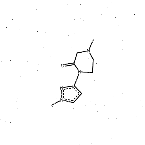 CN1CCN(c2ccn(C)n2)C(=O)C1